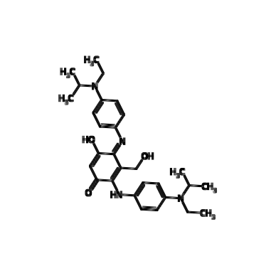 CCN(c1ccc(N=C2C(O)=CC(=O)C(Nc3ccc(N(CC)C(C)C)cc3)=C2CO)cc1)C(C)C